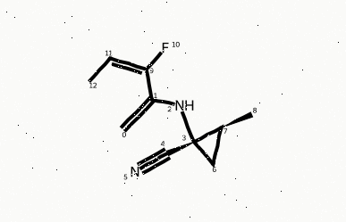 C=C(N[C@@]1(C#N)C[C@@H]1C)/C(F)=C\C